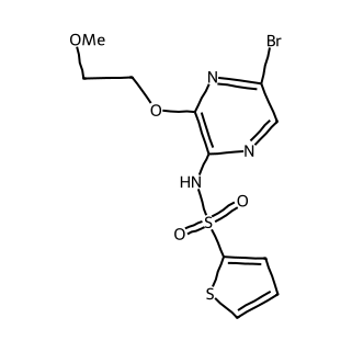 COCCOc1nc(Br)cnc1NS(=O)(=O)c1cccs1